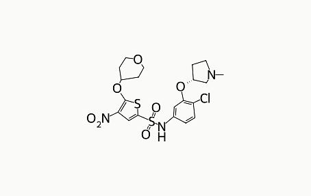 CN1CC[C@@H](Oc2cc(NS(=O)(=O)c3cc([N+](=O)[O-])c(OC4CCOCC4)s3)ccc2Cl)C1